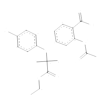 CC(=O)Oc1ccccc1C(=O)O.CCOC(=O)C(C)(C)Oc1ccc(Cl)cc1